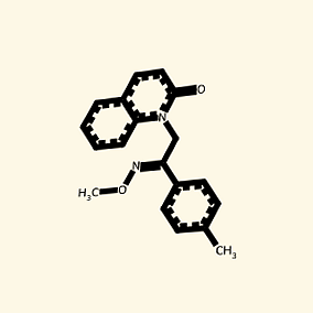 CON=C(Cn1c(=O)ccc2ccccc21)c1ccc(C)cc1